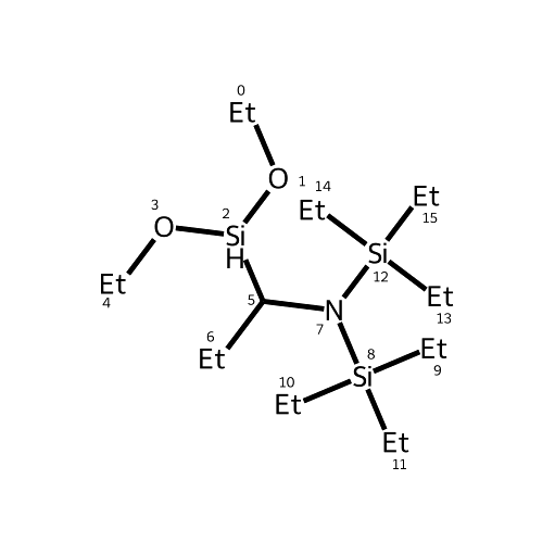 CCO[SiH](OCC)C(CC)N([Si](CC)(CC)CC)[Si](CC)(CC)CC